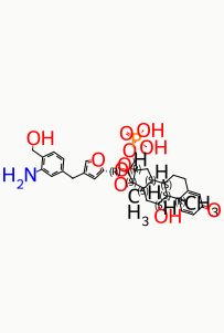 C[C@]12C=CC(=O)C=C1CC[C@@H]1[C@@H]2[C@@H](O)C[C@@]2(C)[C@H]1C[C@H]1O[C@@H](c3cc(Cc4ccc(CO)c(N)c4)co3)O[C@]12C(=O)COP(=O)(O)O